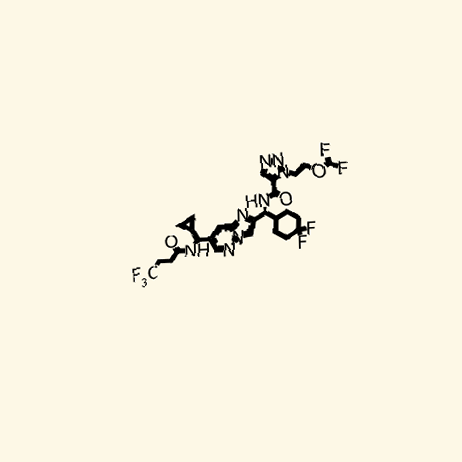 O=C(CCC(F)(F)F)NC(c1cnn2cc([C@@H](NC(=O)c3cnnn3CCOC(F)F)C3CCC(F)(F)CC3)nc2c1)C1CC1